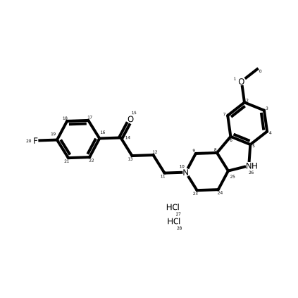 COc1ccc2c(c1)C1CN(CCCC(=O)c3ccc(F)cc3)CCC1N2.Cl.Cl